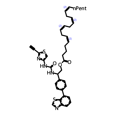 C#Cc1nc(NC(=O)NC(COC(=O)CCC/C=C\C/C=C\C/C=C\C/C=C\CCCCC)c2ccc(-c3cccc4ncsc34)cc2)cs1